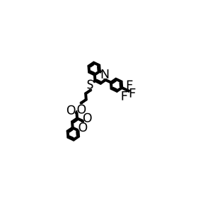 O=C(OCCCCSc1cc(-c2ccc(C(F)(F)F)cc2)nc2ccccc12)c1cc2ccccc2oc1=O